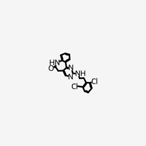 O=C1Cc2cnc(NCCc3c(Cl)cccc3Cl)nc2-c2ccccc2N1